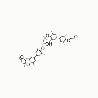 CCC(C)(CC1CO1)Oc1c(C)cc(-c2cc(C)c(OCC(O)CC(C)(C)Oc3c(C)cc(-c4cc(C)c(OCCOC)c(C)c4)cc3C)c(C)c2)cc1C